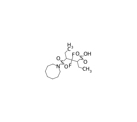 CCC(C(F)(F)C(CC)S(=O)(=O)N1CCCCCCC1)S(=O)(=O)O